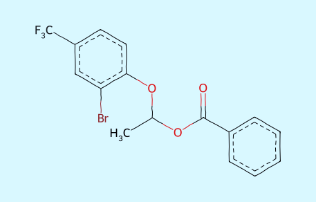 CC(OC(=O)c1ccccc1)Oc1ccc(C(F)(F)F)cc1Br